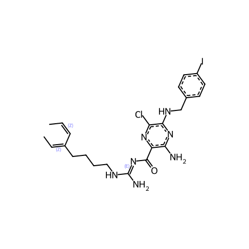 C/C=C\C(=C/C)CCCCN/C(N)=N/C(=O)c1nc(Cl)c(NCc2ccc(I)cc2)nc1N